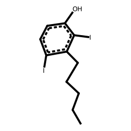 CCCCCc1c(I)ccc(O)c1I